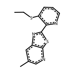 CCSc1cccnc1-c1nc2cc(C)cnc2s1